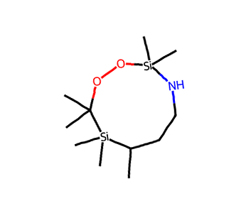 CC1CCN[Si](C)(C)OOC(C)(C)[Si]1(C)C